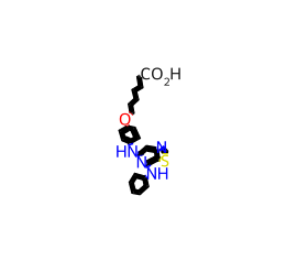 O=C(O)CCCCCCOc1ccc(Nc2cc3ncsc3c(NC3CCCCC3)n2)cc1